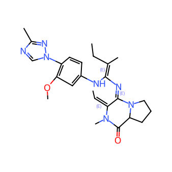 C\C=C1/C(=N\C(Nc2ccc(-n3cnc(C)n3)c(OC)c2)=C(/C)CC)N2CCCC2C(=O)N1C